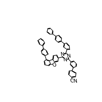 N#Cc1ccc(-c2cccc(-c3nc(-c4cccc(-c5ccc(-c6ccccc6)cc5)c4)nc(-c4ccc5c(c4)oc4cccc(-c6ccc(-c7ccccc7)cc6)c45)n3)c2)cc1